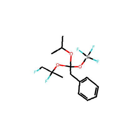 CC(C)OC(Cc1ccccc1)(OC(C)(F)CF)O[Si](F)(F)F